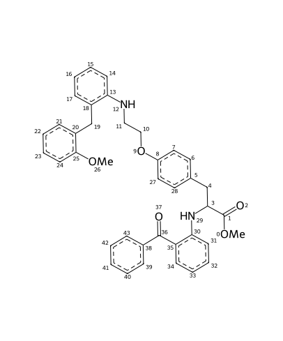 COC(=O)C(Cc1ccc(OCCNc2ccccc2Cc2ccccc2OC)cc1)Nc1ccccc1C(=O)c1ccccc1